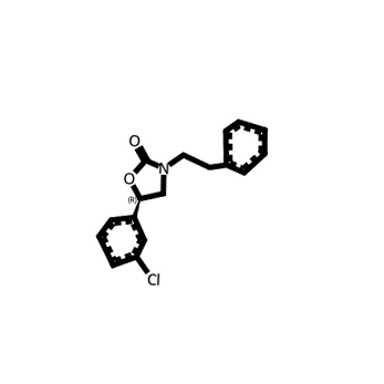 O=C1O[C@H](c2cccc(Cl)c2)CN1CCc1ccccc1